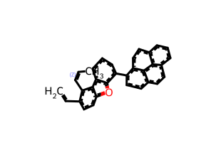 C=Cc1ccc2oc3c(-c4ccc5ccc6cccc7ccc4c5c67)cccc3c2c1/C=C\C